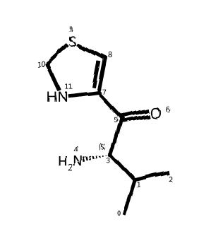 CC(C)[C@H](N)C(=O)C1=CSCN1